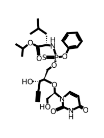 C#C[C@H](O)[C@@H](COP(=S)(N[C@@H](CC(C)C)C(=O)OC(C)C)Oc1ccccc1)O[C@H](CO)n1ccc(=O)[nH]c1=O